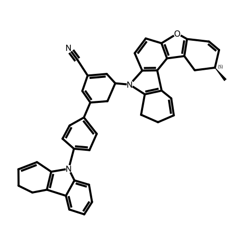 C[C@@H]1C=Cc2oc3ccc4c(c5c(n4C4C=C(C#N)C=C(c6ccc(-n7c8c(c9ccccc97)CCC=C8)cc6)C4)CCC=C5)c3c2C1